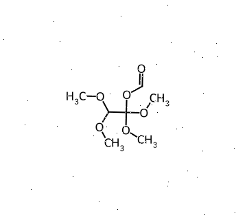 COC(OC)C(OC)(OC)OC=O